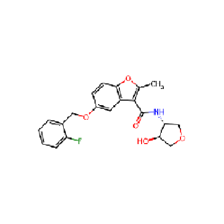 Cc1oc2ccc(OCc3ccccc3F)cc2c1C(=O)N[C@@H]1COC[C@H]1O